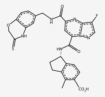 Cc1c(C(=O)O)ccc2c1CC[C@@H]2NC(=O)c1cc(C(=O)NCc2ccc3c(c2)NC(=S)CO3)nc2c(F)cnn12